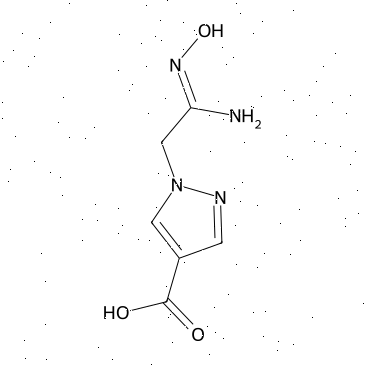 N/C(Cn1cc(C(=O)O)cn1)=N\O